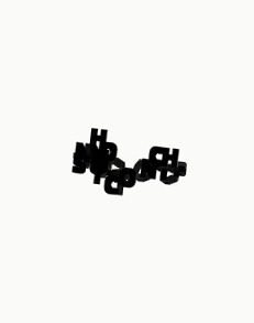 CC(c1ccccc1)N1CCC(Oc2ccc(S(=O)(=O)Nc3cscn3)c(F)c2Cl)CC1